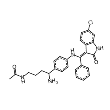 CC(=O)NCCCC(N)c1ccc(NC(=C2C(=O)Nc3cc(Cl)ccc32)c2ccccc2)cc1